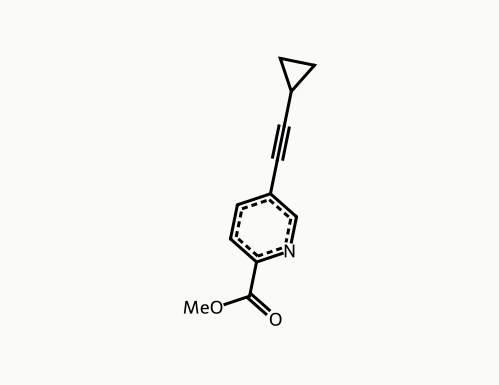 COC(=O)c1ccc(C#CC2CC2)cn1